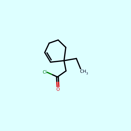 CCC1(CC(=O)Cl)C=CCCC1